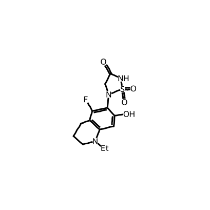 CCN1CCCc2c1cc(O)c(N1CC(=O)NS1(=O)=O)c2F